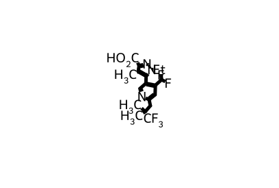 CCn1nc(C(=O)O)c(C)c1-c1cnc(CC(C)(C)C(F)(F)F)cc1C(F)F